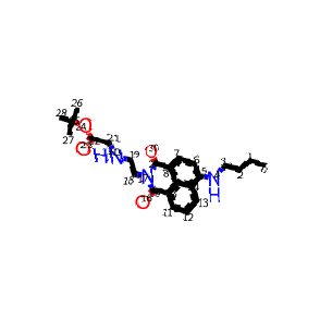 CCCCNc1ccc2c3c(cccc13)C(=O)N(CCNCC(=O)OC(C)(C)C)C2=O